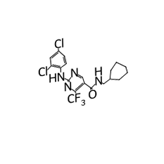 O=C(NCC1CCCCC1)c1cnc(Nc2ccc(Cl)cc2Cl)nc1C(F)(F)F